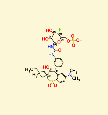 CCCC[C@]1(CC)CS(=O)(=O)c2ccc(N(C)C)cc2[C@@H](c2cccc(NC(=O)N[C@@H]3O[C@H](COS(=O)(=O)O)[C@@H](F)[C@H](O)[C@H]3O)c2)[C@H]1O